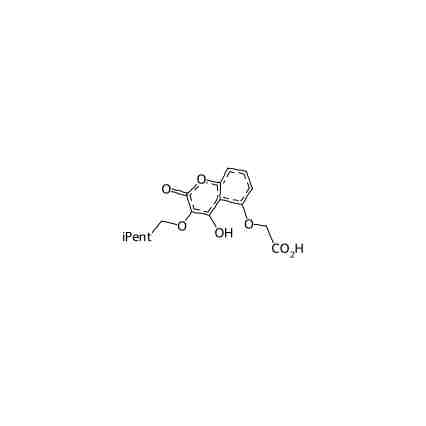 CCCC(C)COc1c(O)c2c(OCC(=O)O)cccc2oc1=O